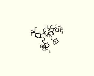 CC(C)(C)c1cn(C[C@H]2CCCO2)/c(=N/C(=O)c2cc(C(F)(F)F)ccc2OC[C@H]2CCC[N+]2(C)[O-])s1